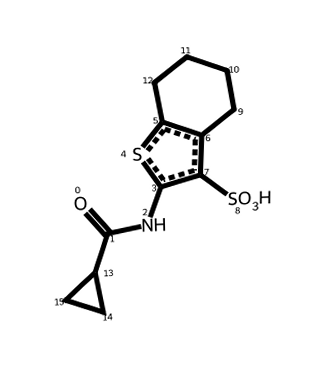 O=C(Nc1sc2c(c1S(=O)(=O)O)CCCC2)C1CC1